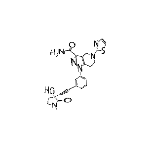 CN1CCC(O)(C#Cc2cccc(-n3nc(C(N)=O)c4c3CCN(c3nccs3)C4)c2)C1=O